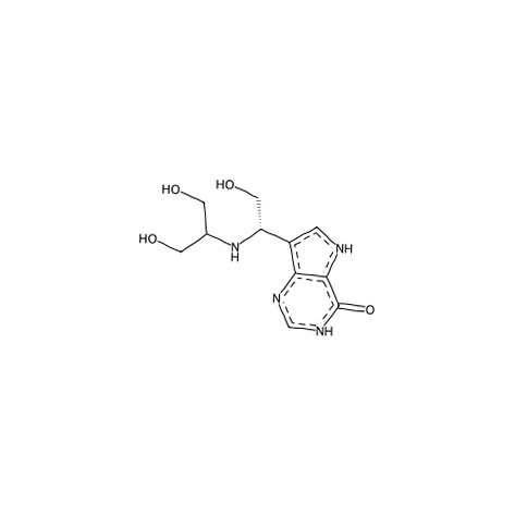 O=c1[nH]cnc2c([C@@H](CO)NC(CO)CO)c[nH]c12